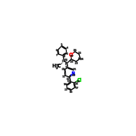 C[C@H](c1ccccc1)C(c1ccc(-c2ccccc2Cl)nc1)C1C[C]CCO1